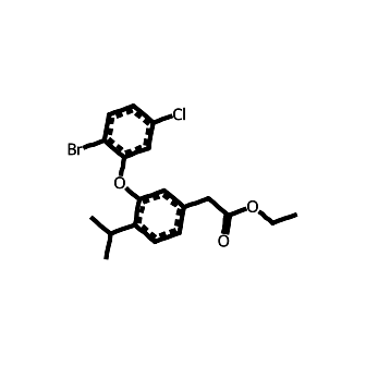 CCOC(=O)Cc1ccc(C(C)C)c(Oc2cc(Cl)ccc2Br)c1